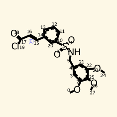 COc1cc(CNS(=O)(=O)c2cccc(/C=C/C(=O)Cl)c2)cc(OC)c1OC